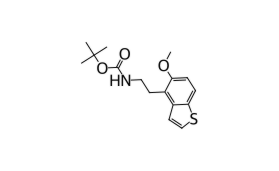 COc1ccc2sccc2c1CCNC(=O)OC(C)(C)C